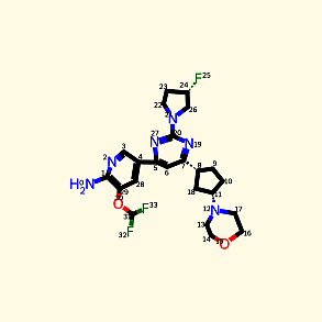 Nc1ncc(-c2cc([C@@H]3CC[C@H](N4CCOCC4)C3)nc(N3CC[C@H](F)C3)n2)cc1OC(F)F